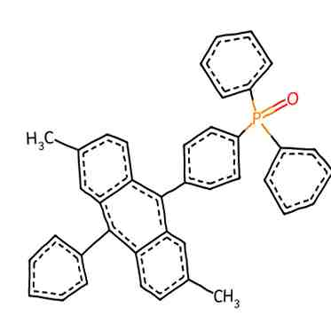 Cc1ccc2c(-c3ccc(P(=O)(c4ccccc4)c4ccccc4)cc3)c3cc(C)ccc3c(-c3ccccc3)c2c1